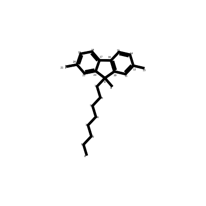 CCCCCCCCC1(C)c2cc(C)ccc2-c2ccc(I)cc21